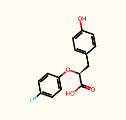 O=C(O)[C@H](Cc1ccc(O)cc1)Oc1ccc(F)cc1